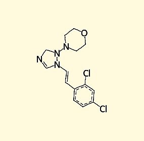 Clc1ccc(C=CN2C=NCN2N2CCOCC2)c(Cl)c1